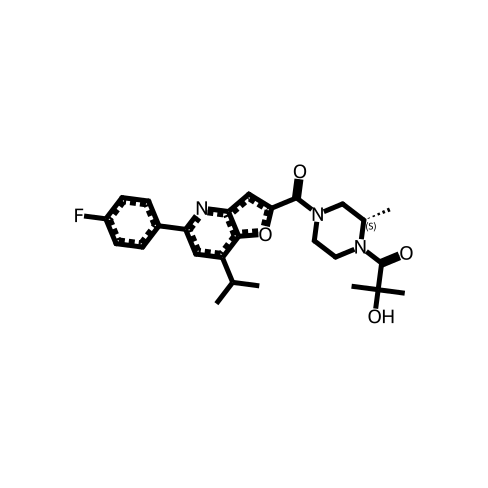 CC(C)c1cc(-c2ccc(F)cc2)nc2cc(C(=O)N3CCN(C(=O)C(C)(C)O)[C@@H](C)C3)oc12